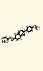 CCOc1ccc(-c2ccc3cc(OCC(O)CF)ccc3n2)cc1